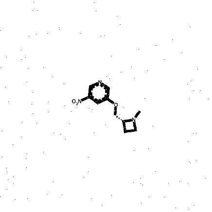 CN1CC[C@@H]1COc1cncc([N+](=O)[O-])c1